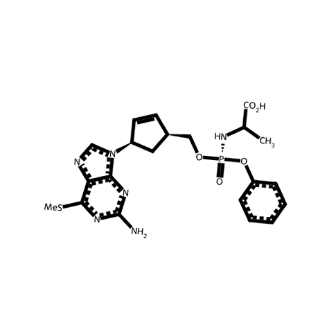 CSc1nc(N)nc2c1ncn2[C@H]1C=C[C@@H](CO[P@@](=O)(NC(C)C(=O)O)Oc2ccccc2)C1